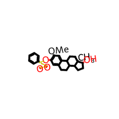 COc1cc2c(cc1OS(=O)(=O)c1ccccc1)CCC1C2CCC2(C)C(O)CCC12